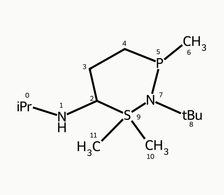 CC(C)NC1CCP(C)N(C(C)(C)C)S1(C)C